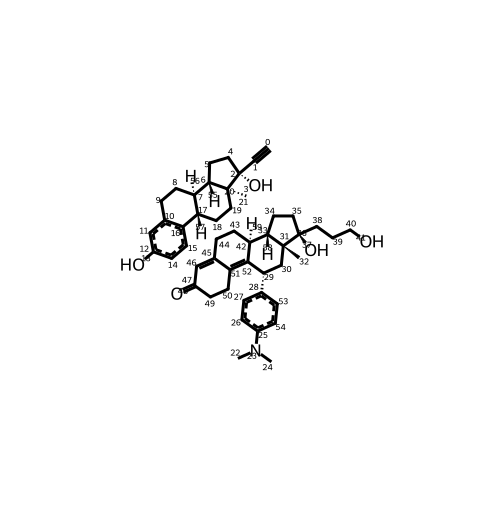 C#C[C@]1(O)CC[C@H]2[C@@H]3CCc4cc(O)ccc4[C@H]3CC[C@@]21C.CN(C)c1ccc([C@H]2C[C@]3(C)[C@@H](CC[C@]3(O)CCCO)[C@@H]3CCC4=CC(=O)CCC4=C32)cc1